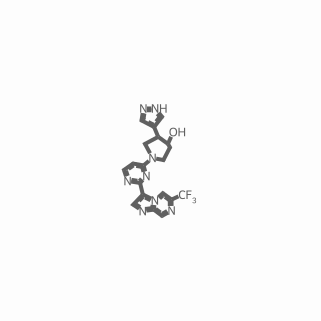 OC1CCN(c2ccnc(-c3cnc4cnc(C(F)(F)F)cn34)n2)CC1c1cn[nH]c1